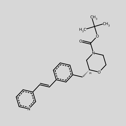 CC(C)(C)OC(=O)N1CCO[C@H](Cc2cccc(C=Cc3cccnc3)c2)C1